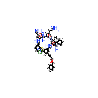 CN1C(=O)C(CCCCN)NC(=O)C(CCCN)NCc2cccnc2Sc2c(Cl)cc(C#CCOCc3ccccc3)cc2CNC(=O)C1Cc1c[nH]c2ccccc12